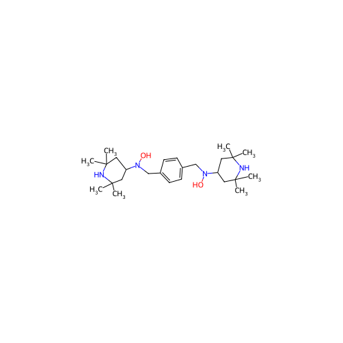 CC1(C)CC(N(O)Cc2ccc(CN(O)C3CC(C)(C)NC(C)(C)C3)cc2)CC(C)(C)N1